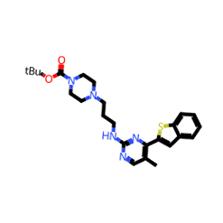 Cc1cnc(NCCCN2CCN(C(=O)OC(C)(C)C)CC2)nc1-c1cc2ccccc2s1